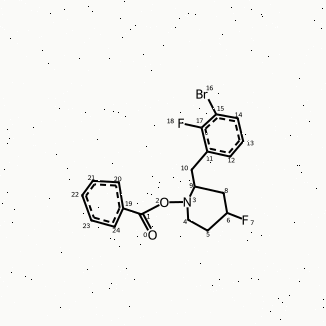 O=C(ON1CCC(F)CC1Cc1cccc(Br)c1F)c1ccccc1